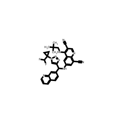 CC(C)(C)CNc1c(C#N)cnc2c(C#N)cc(NC(c3ccc4cccnc4c3)c3cn(C4(C(F)F)CC4)nn3)cc12